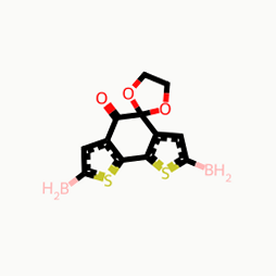 Bc1cc2c(s1)-c1sc(B)cc1C1(OCCO1)C2=O